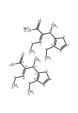 CCN=C(C(=O)[O-])N(C)C1=C(CC)C=CC1.CCN=C(C(=O)[O-])N(C)C1=C(CC)C=CC1.[Ni+2]